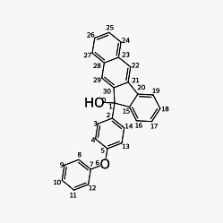 OC1(c2ccc(Oc3ccccc3)cc2)c2ccccc2-c2cc3ccccc3cc21